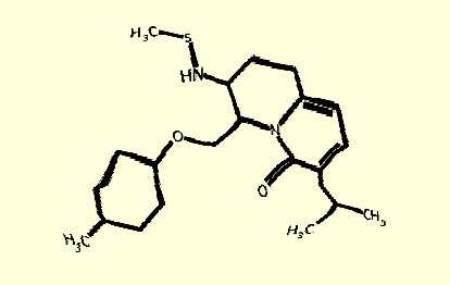 CSNC1CCc2ccc(C(C)C)c(=O)n2C1COC1CCC(C)CC1